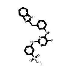 NS(=O)(=O)c1cccc(Nc2ncc(F)c(Nc3cccc(Cc4nc5ccccc5[nH]4)c3)n2)c1